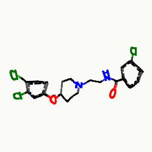 O=C(NCCN1CCC(Oc2ccc(Cl)c(Cl)c2)CC1)c1cccc(Cl)c1